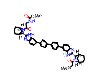 CNCC(=O)N1[C@@H]2CCC[C@@H](C2)[C@H]1c1nc2ccc(-c3ccc(-c4ccc(-c5ccc6nc([C@@H]7[C@H]8CCC[C@H](C8)N7C(=O)CNC(=O)OC)[nH]c6c5)cc4)cc3)cc2[nH]1